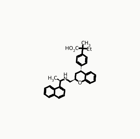 CCC(C)(C(=O)O)c1ccc([C@H]2C[C@H](CN[C@H](C)c3cccc4ccccc34)Oc3ccccc32)cc1